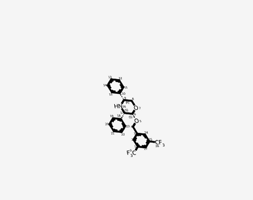 FC(F)(F)c1cc(CO[C@H]2OC[C@@H](c3ccccc3)N[C@H]2c2ccccc2)cc(C(F)(F)F)c1